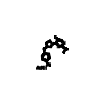 CC(=O)N[C@@H](C)c1ccc(OC2CCN(c3nc(N(C)C)ncc3F)C2)cc1